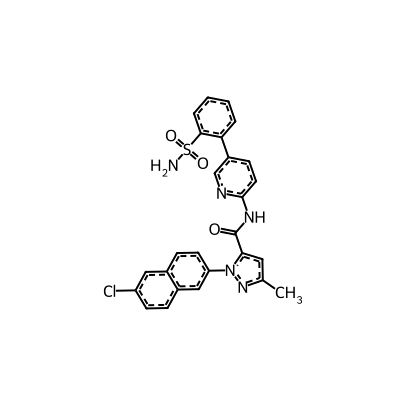 Cc1cc(C(=O)Nc2ccc(-c3ccccc3S(N)(=O)=O)cn2)n(-c2ccc3cc(Cl)ccc3c2)n1